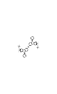 CC(C)(C)Cc1cc2c3cc(C(C)(C)c4ccc5c(c4)c4cc(CC(C)(C)C)ncc4n5-c4ccccc4)ccc3n(-c3ccccc3)c2cn1